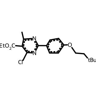 CCOC(=O)c1c(C)nc(-c2ccc(OCCC(C)(C)C)cc2)nc1Cl